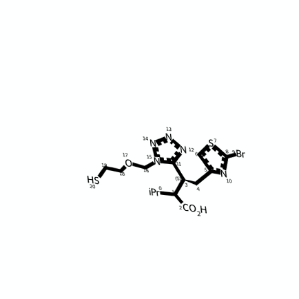 CC(C)C(C(=O)O)[C@H](Cc1csc(Br)n1)c1nnnn1COCCS